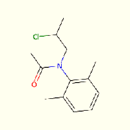 CC(=O)N(CC(C)Cl)c1c(C)cccc1C